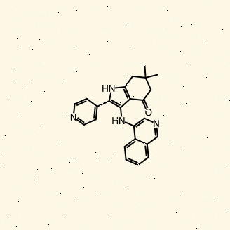 CC1(C)CC(=O)c2c([nH]c(-c3ccncc3)c2Nc2cncc3ccccc23)C1